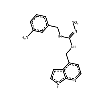 Nc1cccc(CN/C(=N\[N+](=O)[O-])NCc2ccnc3[nH]ccc23)c1